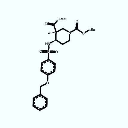 COC(=O)[C@@]1(C)CN(C(=O)OC(C)(C)C)CC[C@H]1NS(=O)(=O)c1ccc(OCc2ccccc2)cc1